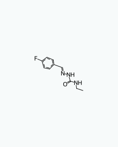 CCNC(=O)N/N=C/c1ccc(F)cc1